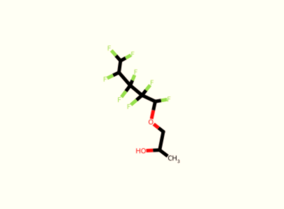 CC(O)COC(F)C(F)(F)C(F)(F)C(F)C(F)F